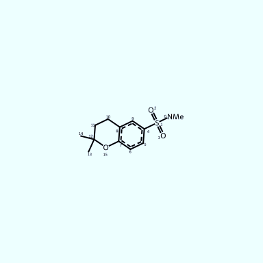 CNS(=O)(=O)c1ccc2c(c1)CCC(C)(C)O2